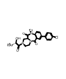 CCN1C(=O)C2CN(C(=O)[C@@H](O)C(C)(C)C)CCN2C(=O)c2cc(-c3ccc(Cl)cc3)ccc21